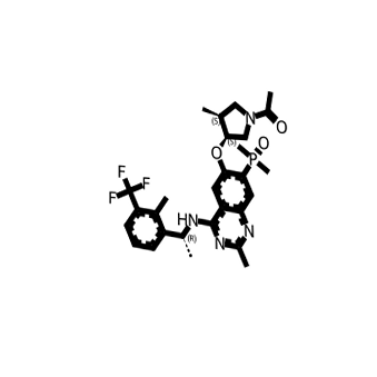 CC(=O)N1C[C@H](C)[C@H](Oc2cc3c(N[C@H](C)c4cccc(C(F)(F)F)c4C)nc(C)nc3cc2P(C)(C)=O)C1